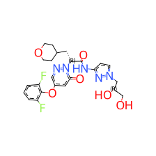 O=C(Nc1ccn(C[C@@H](O)CO)n1)[C@@H](CC1CCOCC1)n1ncc(Oc2c(F)cccc2F)cc1=O